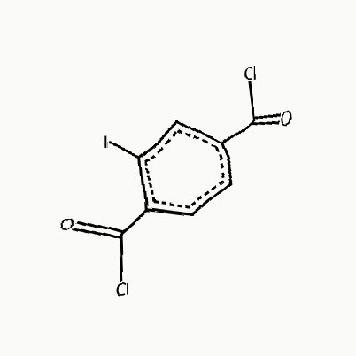 O=C(Cl)c1ccc(C(=O)Cl)c(I)c1